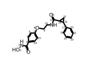 O=C(NO)c1ccc(OCCNC(=O)C2CC2c2ccccc2)cc1